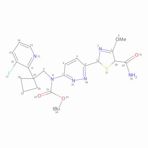 COC1=NC(c2ccc(N(CC3(c4ncccc4F)CCC3)C(=O)OC(C)(C)C)nn2)SC1C(N)=O